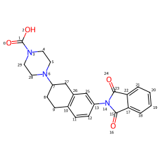 O=C(O)N1CCN(C2CCc3ccc(N4C(=O)c5ccccc5C4=O)cc3C2)CC1